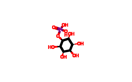 O=P(O)(O)O[C@H]1[C@H](O)[C@H](O)[C@@H](O)[C@H](O)[C@H]1O